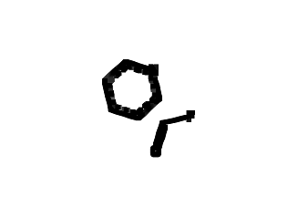 O=CF.c1ccncc1